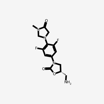 CN1CN(c2c(F)cc(N3C[C@H](CN)OC3=O)cc2F)CC1=O